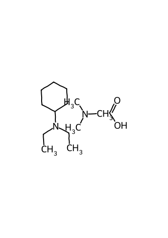 CCN(CC)C1CCCCC1.CN(C)C.O=CO